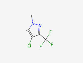 Cn1[c]c(Cl)c(C(F)(F)F)n1